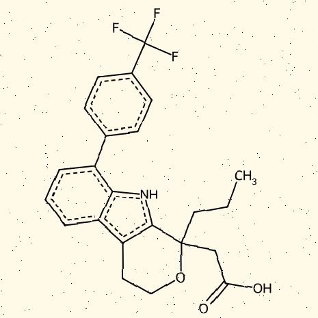 CCCC1(CC(=O)O)OCCc2c1[nH]c1c(-c3ccc(C(F)(F)F)cc3)cccc21